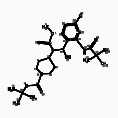 COC(=O)C(C1CCN(C(=O)OC(C)(C)C)CC1)C(O)c1ccc(Cl)nc1NC(=O)C(C)(C)C